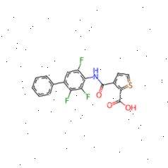 O=C(Nc1c(F)cc(-c2ccccc2)c(F)c1F)c1ccsc1C(=O)O